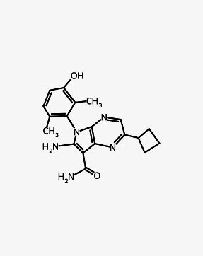 Cc1ccc(O)c(C)c1-n1c(N)c(C(N)=O)c2nc(C3CCC3)cnc21